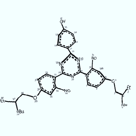 CCCCC(CC)COc1ccc(-c2nc(-c3ccc(O)cc3)nc(-c3ccc(OCC(CC)CCCC)cc3N=O)n2)c(N=O)c1